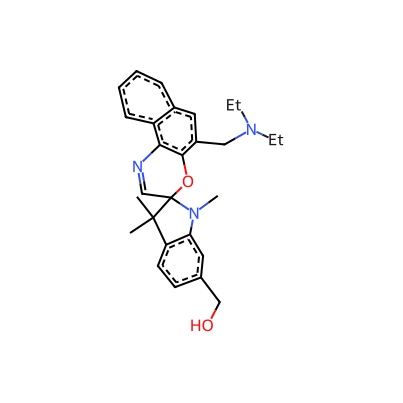 CCN(CC)Cc1cc2ccccc2c2c1OC1(C=N2)N(C)c2cc(CO)ccc2C1(C)C